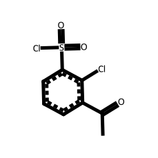 CC(=O)c1cccc(S(=O)(=O)Cl)c1Cl